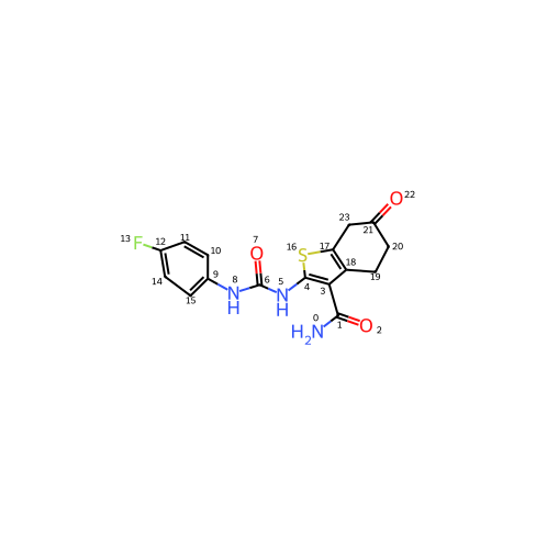 NC(=O)c1c(NC(=O)Nc2ccc(F)cc2)sc2c1CCC(=O)C2